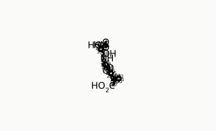 CS(=O)(=O)Nc1cc([C@H](O)CNCC2CCN(S(=O)(=O)c3ccc(-n4cc(CC(=O)O)c5ccccc54)cc3)CC2)ccc1O